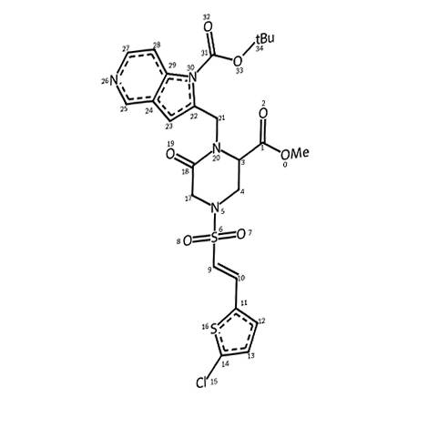 COC(=O)C1CN(S(=O)(=O)C=Cc2ccc(Cl)s2)CC(=O)N1Cc1cc2cnccc2n1C(=O)OC(C)(C)C